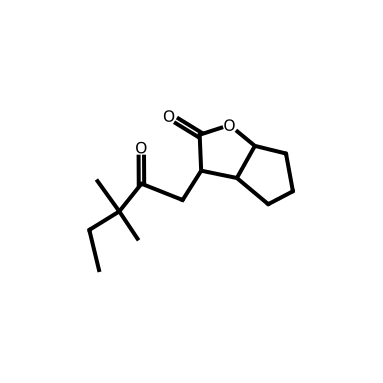 CCC(C)(C)C(=O)CC1C(=O)OC2CCCC21